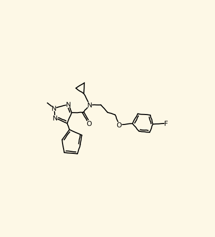 Cn1nc(C(=O)N(CCCOc2ccc(F)cc2)C2CC2)c(-c2ccccc2)n1